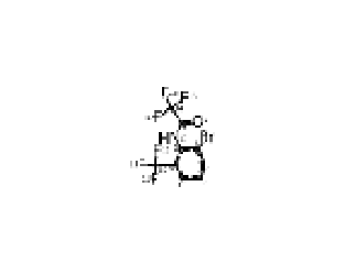 O=C(Nc1c(Br)cccc1C(F)(F)F)C(F)(F)F